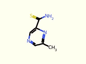 Cc1cncc(C(N)=S)n1